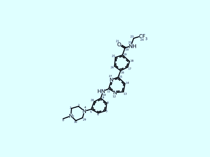 CN1CCN(c2cccc(Nc3nccc(-c4ccc(C(=O)NCC(F)(F)F)cc4)n3)c2)CC1